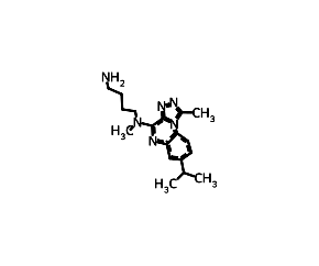 Cc1nnc2c(N(C)CCCCN)nc3cc(C(C)C)ccc3n12